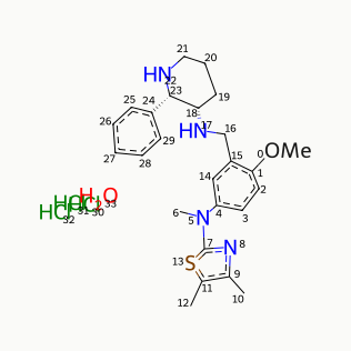 COc1ccc(N(C)c2nc(C)c(C)s2)cc1CN[C@H]1CCCN[C@H]1c1ccccc1.Cl.Cl.Cl.O